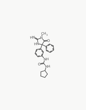 CN1C(=N)NC(c2ccccc2)(c2cccc(NC(=O)NC3CCCC3)c2)C1=O